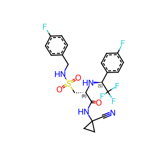 N#CC1(NC(=O)[C@H](CS(=O)(=O)NCc2ccc(F)cc2)N[C@@H](c2ccc(F)cc2)C(F)(F)F)CC1